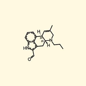 CCCN1CC(C)=C[C@@H]2c3cccc4[nH]c(C=O)c(c34)C[C@H]21